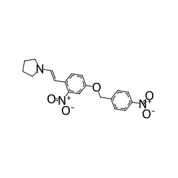 O=[N+]([O-])c1ccc(COc2ccc(C=CN3CCCC3)c([N+](=O)[O-])c2)cc1